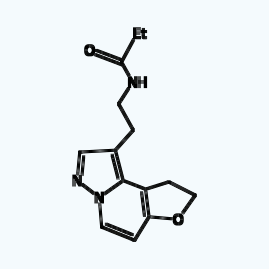 CCC(=O)NCCc1cnn2ccc3c(c12)CCO3